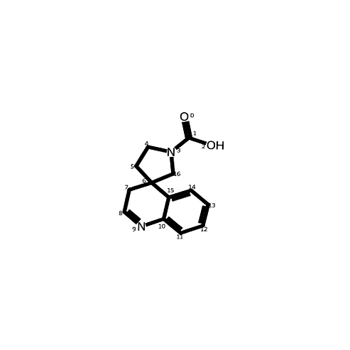 O=C(O)N1CCC2(CC=Nc3ccccc32)C1